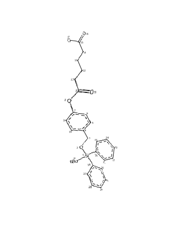 CC(C)(C)[Si](OCc1ccc(OC(=O)CCCCC(=O)Cl)cc1)(c1ccccc1)c1ccccc1